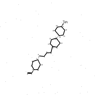 C=C[C@H]1CC[C@H](CCCCC2CCC([C@H]3CC[C@H](CCC)CC3)CC2)CC1